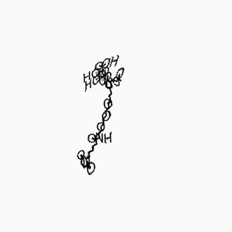 CC(=O)OCc1cc(CCCOCCOCCOCCNC(=O)CCCCCN2C(=O)C=CC2=O)ccc1O[C@@H]1O[C@H](C(=O)O)[C@@H](O)[C@H](O)[C@H]1O